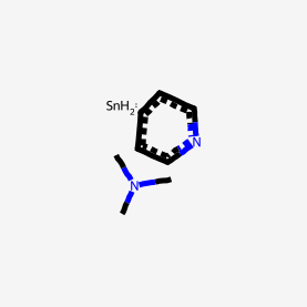 CN(C)C.[SnH2].c1ccncc1